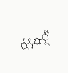 CC1=C(c2cnc(NC(=O)c3c(F)cccc3F)cn2)CN(C)CC1